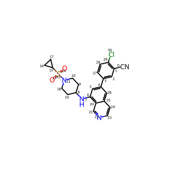 N#Cc1cc(-c2cc(NC3CCN(S(=O)(=O)C4CC4)CC3)c3cnccc3c2)ccc1Cl